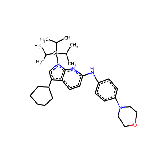 CC(C)[Si](C(C)C)(C(C)C)n1cc(C2CCCCC2)c2ccc(Nc3ccc(N4CCOCC4)cc3)nc21